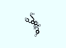 O=C(NCc1ccc(Cl)cc1)c1nnc2c(CC#CCO)cc(CC3CCOCC3)cc2c1O